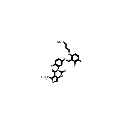 COCCCOc1ccc(F)c(F)c1COc1ccc(F)c(-n2c(=O)[nH]c3csc(C(=O)O)c3c2=O)c1